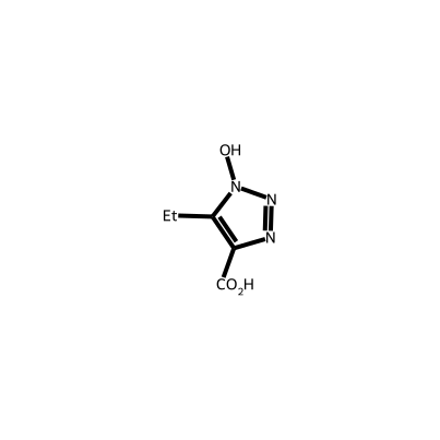 CCc1c(C(=O)O)nnn1O